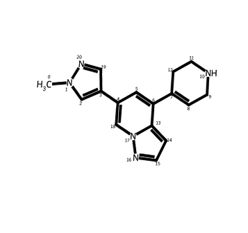 Cn1cc(-c2cc(C3=CCNCC3)c3ccnn3c2)cn1